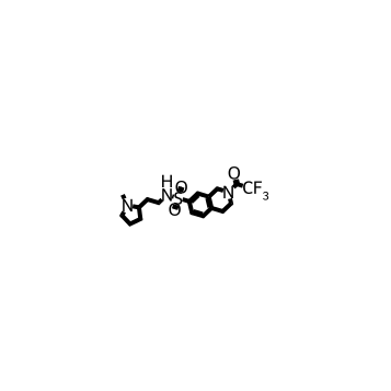 CN1CCCC1CCNS(=O)(=O)c1ccc2c(c1)CN(C(=O)C(F)(F)F)CC2